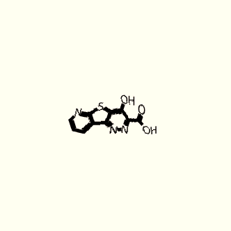 O=C(O)c1nnc2c(sc3ncccc32)c1O